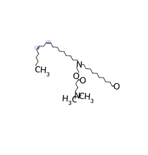 CCCCC/C=C\C/C=C\CCCCCCCCN(CCCCCCCCCC=O)CCOC(=O)CCCN(C)C